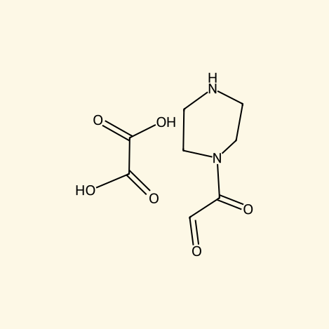 O=C(O)C(=O)O.O=CC(=O)N1CCNCC1